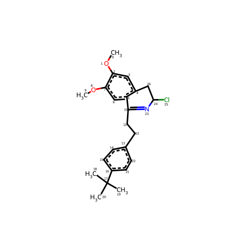 COc1cc2c(cc1OC)C(CCc1ccc(C(C)(C)C)cc1)=NC(Cl)C2